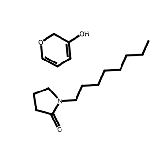 CCCCCCCCN1CCCC1=O.OC1=CC=COC1